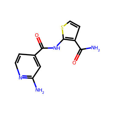 NC(=O)c1ccsc1NC(=O)c1ccnc(N)c1